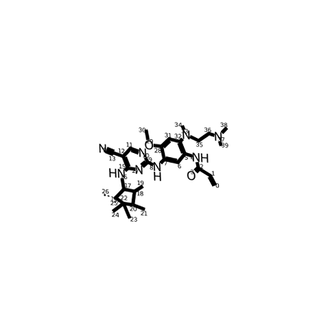 C=CC(=O)Nc1cc(Nc2ncc(C#N)c(NC3C(C)C(C)C(C)(C)[C@@H]3C)n2)c(OC)cc1N(C)CCN(C)C